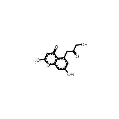 Cc1cc(=O)c2c(CC(=O)CO)cc(O)cc2o1